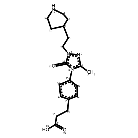 Cc1nn(CCC2CCNCC2)c(=O)n1-c1ccc(CCC(=O)O)cc1